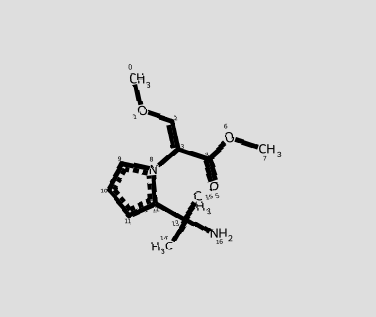 CO/C=C(/C(=O)OC)n1cccc1C(C)(C)N